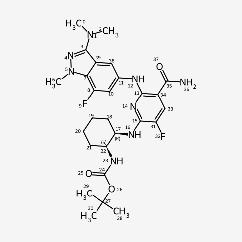 CN(C)c1nn(C)c2c(F)cc(Nc3nc(N[C@@H]4CCCC[C@@H]4NC(=O)OC(C)(C)C)c(F)cc3C(N)=O)cc12